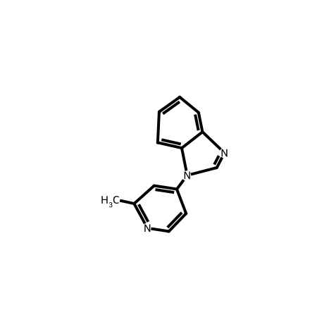 Cc1cc(-n2cnc3ccccc32)ccn1